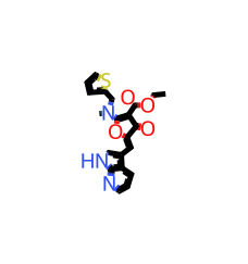 CCOC(=O)C1=C(N(C)Cc2cccs2)O/C(=C\c2c[nH]c3ncccc23)C1=O